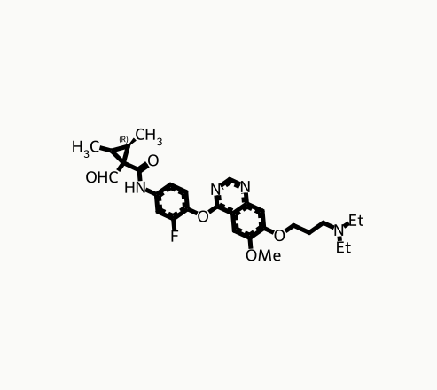 CCN(CC)CCCOc1cc2ncnc(Oc3ccc(NC(=O)C4(C=O)C(C)[C@H]4C)cc3F)c2cc1OC